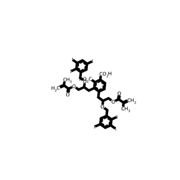 C=C(C)C(=O)OCC(Cc1ccc(C(=O)O)c(C(=O)O)c1CC(COC(=O)C(=C)C)OCc1cc(I)cc(I)c1I)OCc1cc(I)cc(I)c1I